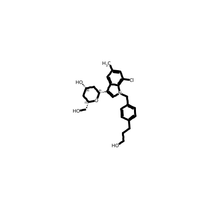 Cc1cc(Cl)c2c(c1)c([C@H]1C[C@@H](O)C[C@@H](CO)O1)cn2Cc1ccc(CCCO)cc1